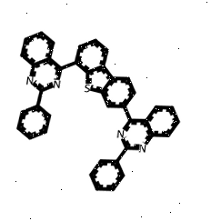 c1ccc(-c2nc(-c3ccc4c(c3)sc3c(-c5nc(-c6ccccc6)nc6ccccc56)cccc34)c3ccccc3n2)cc1